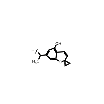 CC(C)c1cc(O)c2c(c1)OC1(C=C2)CC1